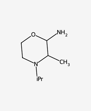 CC(C)N1CCOC(N)C1C